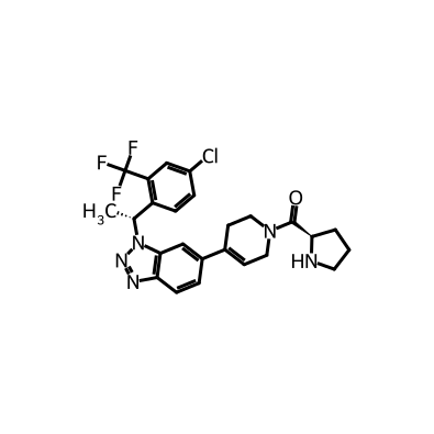 C[C@H](c1ccc(Cl)cc1C(F)(F)F)n1nnc2ccc(C3=CCN(C(=O)[C@H]4CCCN4)CC3)cc21